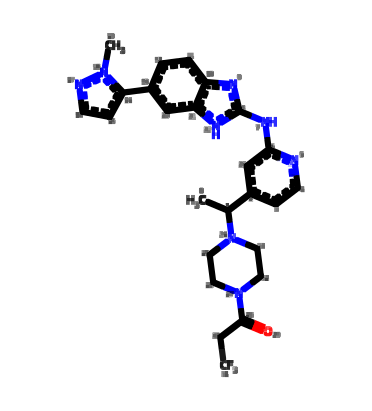 CC(c1ccnc(Nc2nc3ccc(-c4ccnn4C)cc3[nH]2)c1)N1CCN(C(=O)CC(F)(F)F)CC1